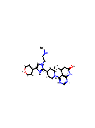 CC(C)(C)NCCn1cc(C2CCOCC2)nc1C1CCN(c2ncnc3c2C(C(F)(F)F)CC(=O)N3)CC1